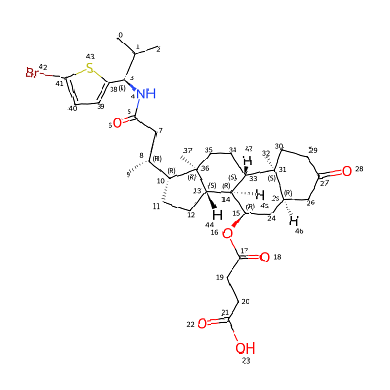 CC(C)[C@@H](NC(=O)C[C@@H](C)[C@H]1CC[C@H]2[C@@H]3[C@H](OC(=O)CCC(=O)O)C[C@@H]4CC(=O)CC[C@]4(C)[C@H]3CC[C@]12C)c1ccc(Br)s1